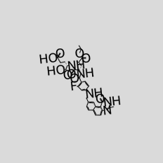 CCOC(=O)CC[C@H](NC(=O)c1ccc(NCc2ccc3ccc4nc(C)[nH]c(=O)c4c3c2)cc1F)C(=O)N[C@@H](CCC(=O)O)C(=O)O